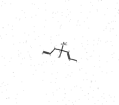 C=CCC(C)(C=CC)C(C)=O